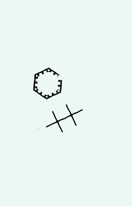 CCCCC(F)(F)C(F)(F)S(=O)(=O)O.c1ccncc1